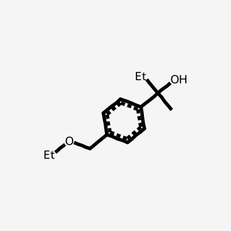 CCOCc1ccc(C(C)(O)CC)cc1